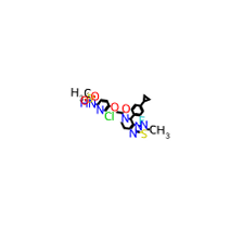 Cc1nn2c3c(nc2s1)CCN(C(=O)COc1ccc(NS(C)(=O)=O)nc1Cl)C3c1ccc(C2CC2)cc1F